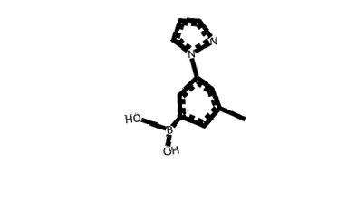 Cc1cc(B(O)O)cc(-n2cccn2)c1